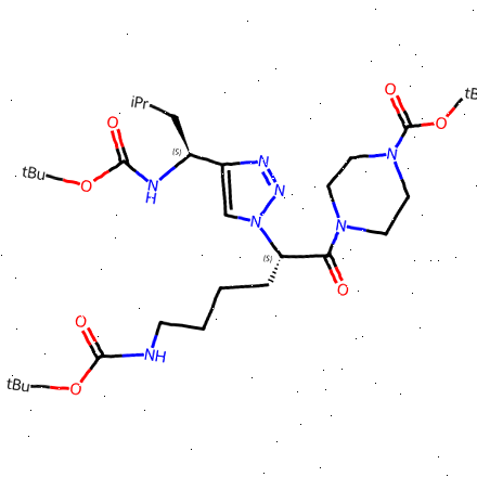 CC(C)C[C@H](NC(=O)OC(C)(C)C)c1cn([C@@H](CCCCNC(=O)OC(C)(C)C)C(=O)N2CCN(C(=O)OC(C)(C)C)CC2)nn1